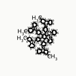 Cc1ccc2c(c1)c1ccccc1n2-c1ccc(-c2c(-c3ccc(-n4c5ccccc5c5cc(C)ccc54)cc3)c(-c3ccc(-n4c5ccccc5c5cc(C)ccc54)cc3)c(-c3nc4ccccc4o3)c(-c3ccccn3)c2-c2ccc(-n3c4ccccc4c4cc(C)ccc43)cc2)cc1